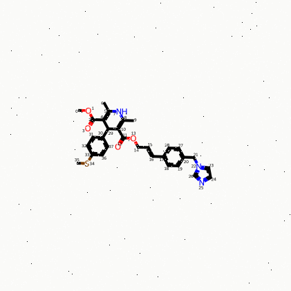 COC(=O)C1=C(C)NC(C)=C(C(=O)OC/C=C/c2ccc(Cn3ccnc3)cc2)C1c1ccc(SC)cc1